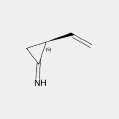 C=C[C@@H]1CC1=N